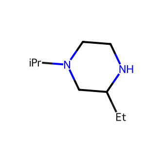 CCC1CN(C(C)C)CCN1